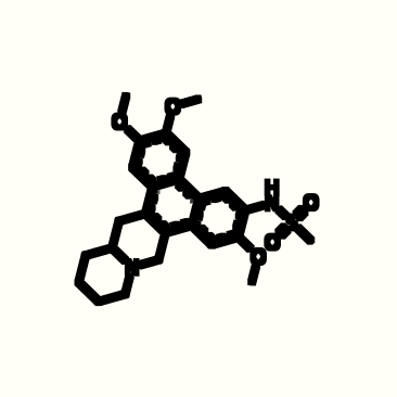 COc1cc2c3c(c4cc(OC)c(OC)cc4c2cc1NS(C)(=O)=O)CC1CCCCN1C3